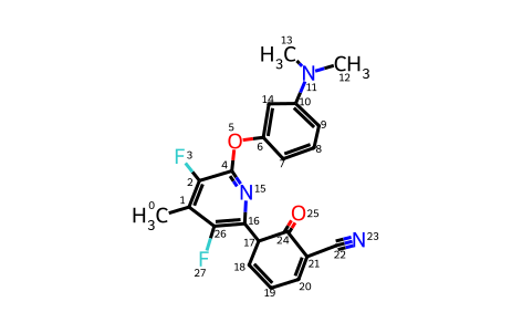 Cc1c(F)c(Oc2cccc(N(C)C)c2)nc(C2C=CC=C(C#N)C2=O)c1F